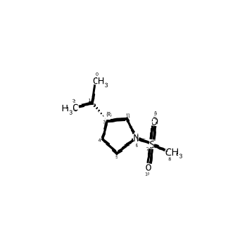 CC(C)[C@H]1CCN(S(C)(=O)=O)C1